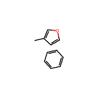 Cc1ccoc1.c1ccccc1